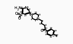 Nc1ncc(N2CCN(CCCC(=O)c3ccc(F)cc3)CC2)cc1[N+](=O)[O-]